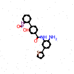 Nc1ccc(-c2cccs2)cc1NC(=O)c1ccc(-c2ccccc2[PH](=O)O)cc1